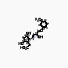 O=C(O)C[C@@H]1[C@@H](/C=C/[C@H](O)COc2cccc(C(F)(F)F)c2)[C@H](O)C[C@@H]1O